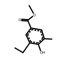 CCc1cc(C(=O)OC)cc(C)c1O